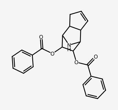 O=C(OC1C2NC(C3CC=CC32)C1OC(=O)c1ccccc1)c1ccccc1